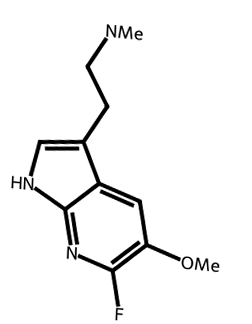 CNCCc1c[nH]c2nc(F)c(OC)cc12